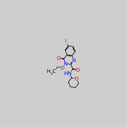 CCOn1c(C(=O)NC2CCCCO2)nc2ccc(F)cc2c1=O